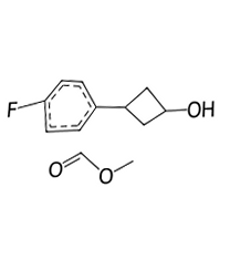 COC=O.OC1CC(c2ccc(F)cc2)C1